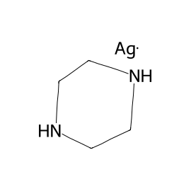 C1CNCCN1.[Ag]